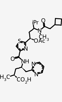 CC(=O)O[C@H](CC(C(C)C)N(C)C(=O)CC1CCC1)c1nc(C(=O)N[C@@H](Cc2ncccn2)C[C@H](C)C(=O)O)cs1